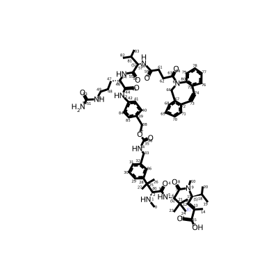 CN[C@@H](C(=O)N[C@H](C(=O)N(C)[C@H](/C=C(\C)C(=O)O)C(C)C)C(C)(C)C)C(C)(C)c1cccc(CNC(=O)OCc2ccc(NC(=O)[C@H](CCCNC(N)=O)NC(=O)[C@@H](NC(=O)CCC(=O)N3Cc4ccccc4C#Cc4ccccc43)C(C)C)cc2)c1